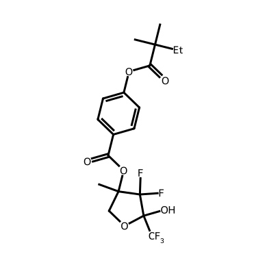 CCC(C)(C)C(=O)Oc1ccc(C(=O)OC2(C)COC(O)(C(F)(F)F)C2(F)F)cc1